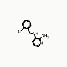 Nc1ncccc1NCc1ccccc1Cl